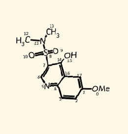 COc1ccc2ncc(S(=O)(=O)N(C)C)c(O)c2c1